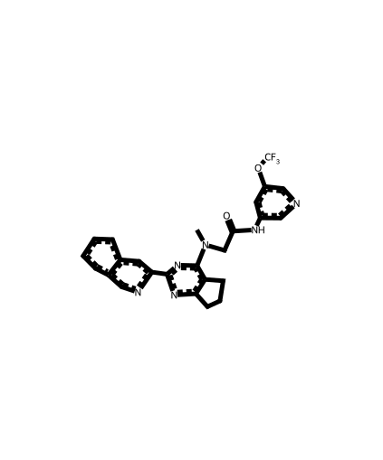 CN(CC(=O)Nc1cncc(OC(F)(F)F)c1)c1nc(-c2cc3ccccc3cn2)nc2c1CCC2